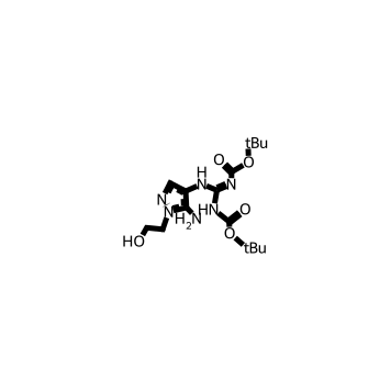 CC(C)(C)OC(=O)/N=C(/NC(=O)OC(C)(C)C)Nc1cnn(CCO)c1N